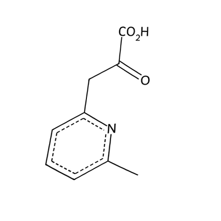 Cc1cccc(CC(=O)C(=O)O)n1